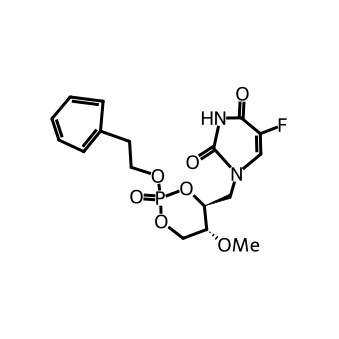 CO[C@@H]1COP(=O)(OCCc2ccccc2)O[C@H]1Cn1cc(F)c(=O)[nH]c1=O